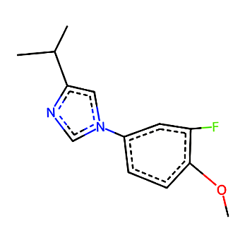 COc1ccc(-n2cnc(C(C)C)c2)cc1F